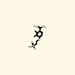 C=C(C)c1ccc(OCCS(=O)(=O)O)c(I)c1I